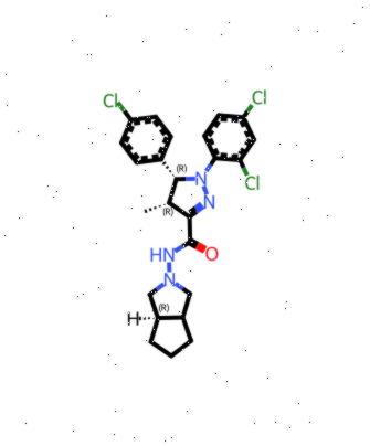 C[C@H]1C(C(=O)NN2CC3CCC[C@H]3C2)=NN(c2ccc(Cl)cc2Cl)[C@H]1c1ccc(Cl)cc1